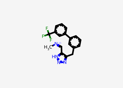 C/N=C\c1[nH]nnc1Cc1cccc(-c2cccc(C(F)(F)F)c2)c1